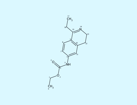 CCOC(=O)Nc1ccc2c(c1)CCN=C2CC